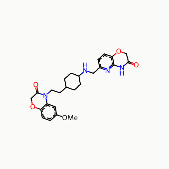 COc1ccc2c(c1)N(CCC1CCC(NCc3ccc4c(n3)NC(=O)CO4)CC1)C(=O)CO2